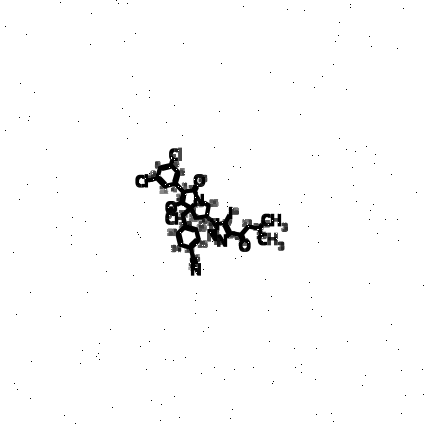 COC1=C(c2cc(Cl)cc(Cl)c2)C(=O)N2C[C@@H](n3nnc(C(=O)CC(C)C)c3I)CC12Cc1ccc(C#N)cc1